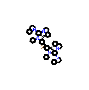 c1ccc(N2c3cc4sc5cc6c(cc5c4cc3B3c4cccc5c4N(CCC5)c4cc(N5CCCc7ccccc75)cc2c43)B2c3cccc4c3N(CCC4)c3cc(N4CCCc5ccccc54)cc(c32)N6c2ccccc2)cc1